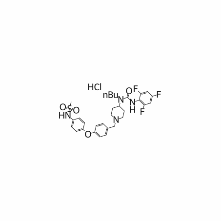 CCCCN(C(=O)Nc1c(F)cc(F)cc1F)C1CCN(Cc2ccc(Oc3ccc(NS(C)(=O)=O)cc3)cc2)CC1.Cl